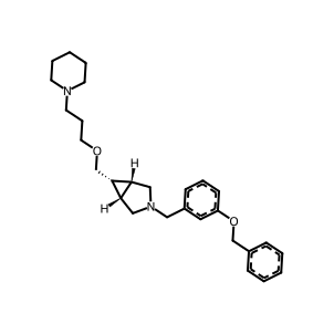 c1ccc(COc2cccc(CN3C[C@@H]4[C@H](COCCCN5CCCCC5)[C@@H]4C3)c2)cc1